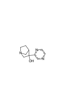 OC1(c2cnccn2)CN2CCC1C2